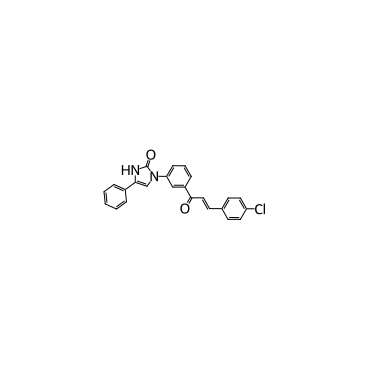 O=C(C=Cc1ccc(Cl)cc1)c1cccc(-n2cc(-c3ccccc3)[nH]c2=O)c1